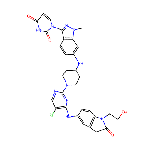 Cn1nc(-n2ccc(=O)[nH]c2=O)c2ccc(NC3CCN(c4ncc(Cl)c(Nc5ccc6c(c5)CC(=O)N6CCO)n4)CC3)cc21